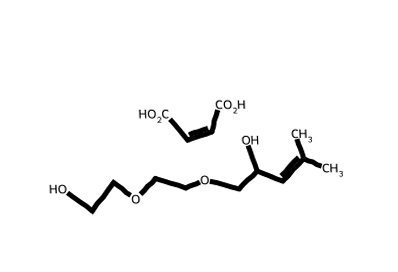 CC(C)=CC(O)COCCOCCO.O=C(O)/C=C\C(=O)O